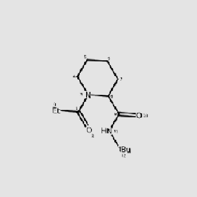 CCC(=O)N1CCCCC1C(=O)NC(C)(C)C